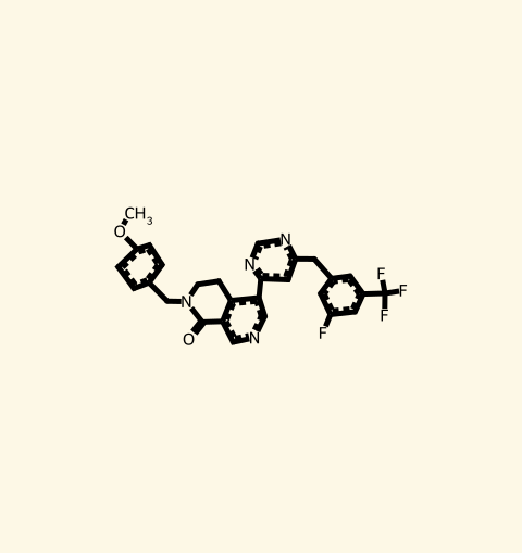 COc1ccc(CN2CCc3c(cncc3-c3cc(Cc4cc(F)cc(C(F)(F)F)c4)ncn3)C2=O)cc1